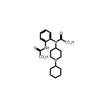 O=C(O)C(=O)Nc1ccccc1N(C(=O)C(=O)O)C1CCN(C2CCCCC2)CC1